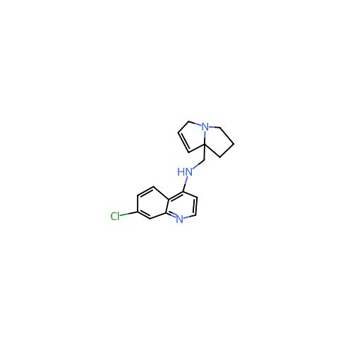 Clc1ccc2c(NCC34C=CCN3CCC4)ccnc2c1